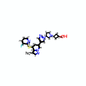 N#Cc1cnn2cc(-c3cnn([C@H]4CCN(C5CC(O)C5)C4)c3)cc(Sc3ncccc3F)c12